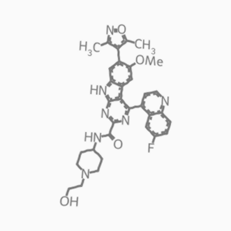 COc1cc2c(cc1-c1c(C)noc1C)[nH]c1nc(C(=O)NC3CCN(CCO)CC3)nc(-c3ccnc4ccc(F)cc34)c12